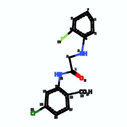 O=C(CNc1ccccc1F)Nc1cc(Cl)ccc1C(=O)O